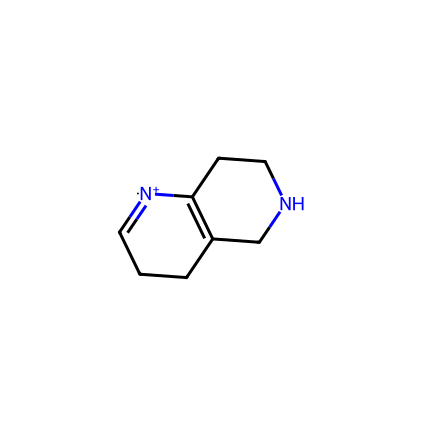 C1=[N+]C2=C(CC1)CNCC2